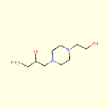 O=S(=O)(O)C[C@@H](O)CN1CCN(CCO)CC1